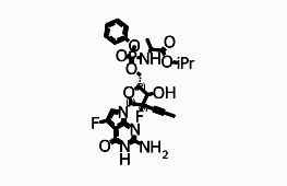 CC#C[C@@]1(F)C(O)[C@@H](COP(=O)(NC(C)C(=O)OC(C)C)Oc2ccccc2)O[C@H]1n1cc(F)c2c(=O)[nH]c(N)nc21